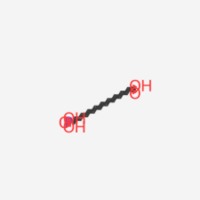 O=C(O)CCCCCCCCCCCCCCCCCCP(=O)(O)O